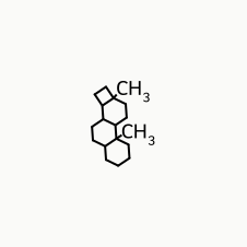 CC12CCC1C1CCC3CCCCC3(C)C1CC2